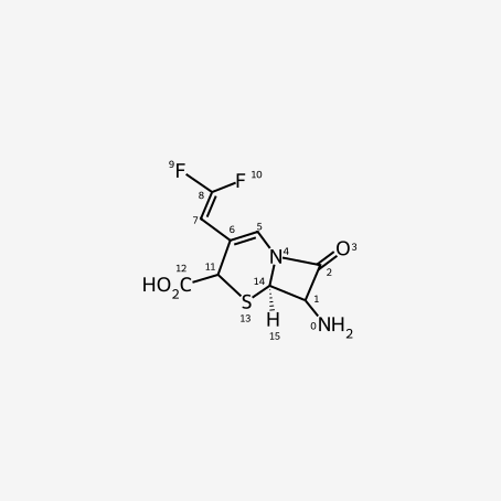 NC1C(=O)N2C=C(C=C(F)F)C(C(=O)O)S[C@H]12